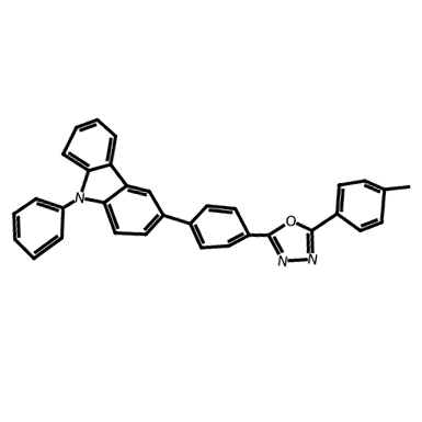 Cc1ccc(-c2nnc(-c3ccc(-c4ccc5c(c4)c4ccccc4n5-c4ccccc4)cc3)o2)cc1